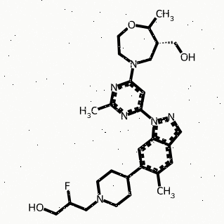 Cc1nc(N2CCOC(C)[C@H](CO)C2)cc(-n2ncc3cc(C)c(C4CCN(CC(F)CO)CC4)cc32)n1